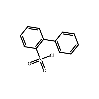 O=S(=O)(Cl)c1[c]cccc1-c1ccccc1